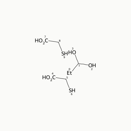 CCC(O)O.O=C(O)CS.O=C(O)CS